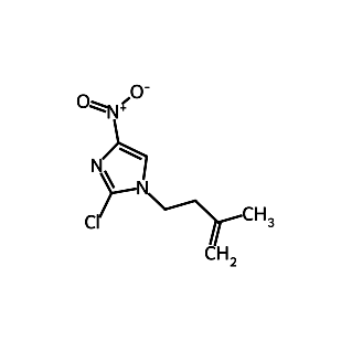 C=C(C)CCn1cc([N+](=O)[O-])nc1Cl